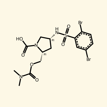 CN(C)C(=O)OC[C@H]1C[C@@H](NS(=O)(=O)c2cc(Br)ccc2Br)CN1C(=O)O